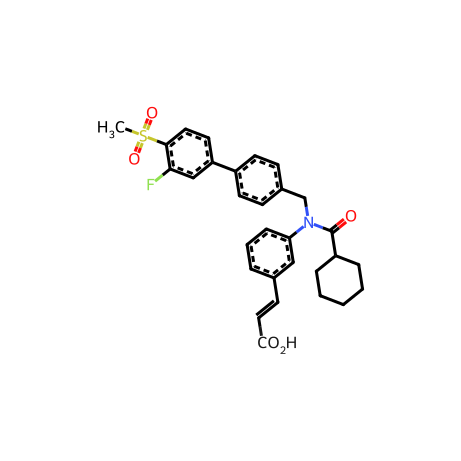 CS(=O)(=O)c1ccc(-c2ccc(CN(C(=O)C3CCCCC3)c3cccc(C=CC(=O)O)c3)cc2)cc1F